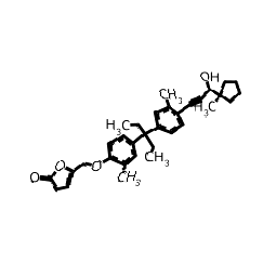 CCC(CC)(c1ccc(C#CC(O)C2(C)CCCC2)c(C)c1)c1ccc(OCC2=CCC(=O)O2)c(C)c1